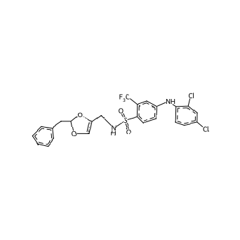 O=S(=O)(NCC1=COC(Cc2ccccc2)O1)c1ccc(Nc2ccc(Cl)cc2Cl)cc1C(F)(F)F